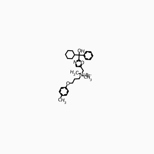 Cc1ccc(OCCC[N+](C)(C)Cc2cnc(C(O)(c3ccccc3)C3CCCCC3)o2)cc1.[Br-]